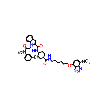 CCc1cccc(N(CC)C(=O)Cn2c(C(=O)N[C@H]3CC[C@H](C(=O)NCCCCCCOc4ccc([N+](=O)[O-])c5nonc45)CC3)cc3ccccc32)c1